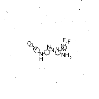 Cc1cc(C(F)F)nn1-c1nc(-n2cnc3cc(NC4CCN(C5COC5)CC4)ccc32)ccc1N